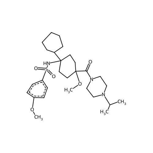 COc1ccc(S(=O)(=O)NC2(C3CCCCC3)CCC(OC)(C(=O)N3CCN(C(C)C)CC3)CC2)cc1